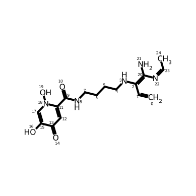 C=C/C(NCCCCNC(=O)c1cc(=O)c(O)cn1O)=C(N)\N=C/C